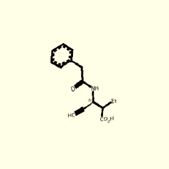 C#C[C@@H](NC(=O)Cc1ccccc1)C(CC)C(=O)O